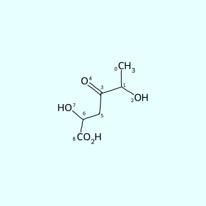 CC(O)C(=O)CC(O)C(=O)O